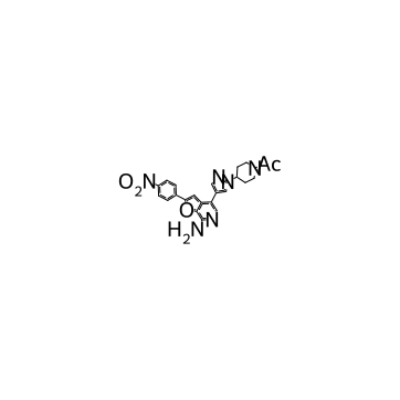 CC(=O)N1CCC(n2cc(-c3cnc(N)c4oc(-c5ccc([N+](=O)[O-])cc5)cc34)cn2)CC1